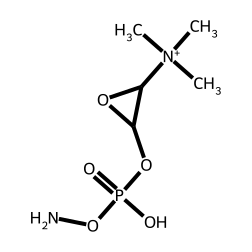 C[N+](C)(C)C1OC1OP(=O)(O)ON